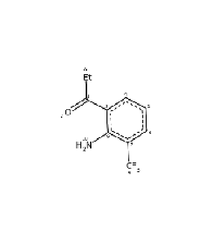 CCC(=O)c1cccc(C(F)(F)F)c1N